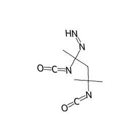 CC(C)(CC(C)(N=N)N=C=O)N=C=O